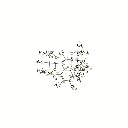 CCCCCCCCCC(O[SiH3])(O[SiH3])C(O[SiH3])(O[SiH3])C(=C(C)[Si](O[SiH2]C)(O[Si](C)(C)C)C(O[SiH3])(O[SiH3])O[SiH3])c1c(C)c(C)c(C)c(C)c1C